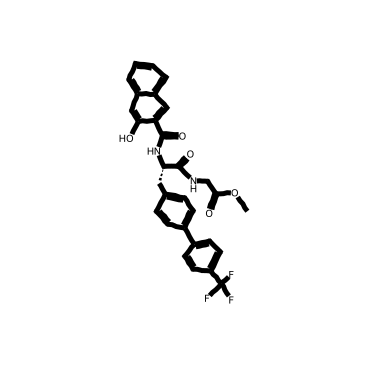 COC(=O)CNC(=O)[C@H](Cc1ccc(-c2ccc(C(F)(F)F)cc2)cc1)NC(=O)c1cc2ccccc2cc1O